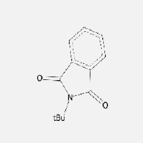 [CH2]C(C)(C)N1C(=O)c2ccccc2C1=O